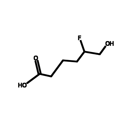 O=C(O)CCCC(F)CO